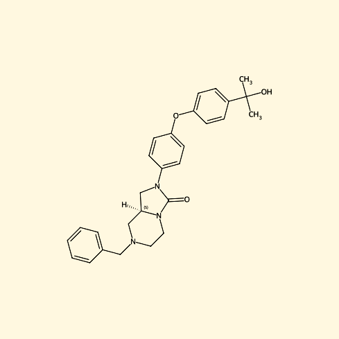 CC(C)(O)c1ccc(Oc2ccc(N3C[C@@H]4CN(Cc5ccccc5)CCN4C3=O)cc2)cc1